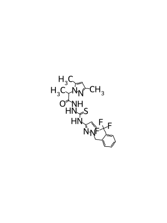 Cc1cc(C)n(C(C)C(=O)NNC(=S)Nc2ccn(Cc3ccccc3C(F)(F)F)n2)n1